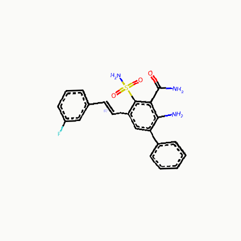 NC(=O)c1c(N)c(-c2ccccc2)cc(/C=C/c2cccc(F)c2)c1S(N)(=O)=O